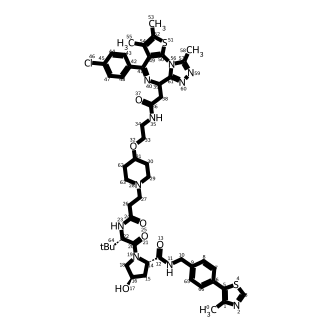 Cc1ncsc1-c1ccc(CNC(=O)[C@@H]2C[C@@H](O)CN2C(=O)[C@@H](NC(=O)CCN2CCC(OCCNC(=O)CC3N=C(c4ccc(Cl)cc4)c4c(sc(C)c4C)-n4c(C)nnc43)CC2)C(C)(C)C)cc1